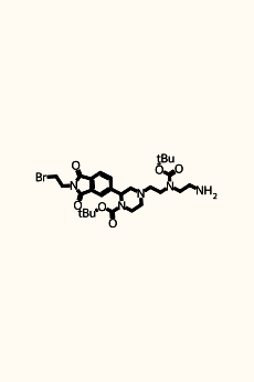 CC(C)(C)OC(=O)N(CCN)CCN1CCN(C(=O)OC(C)(C)C)C(c2ccc3c(c2)C(=O)N(CCBr)C3=O)C1